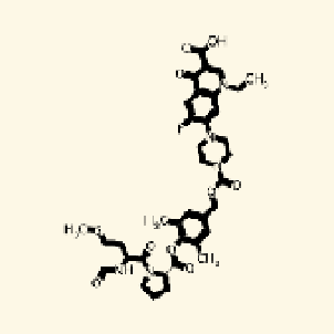 CCn1cc(C(=O)O)c(=O)c2cc(F)c(N3CCN(C(=O)OCc4cc(C)c(OC(=O)[C@@H]5CCCN5C(=O)C(CCSC)NC=O)c(C)c4)CC3)cc21